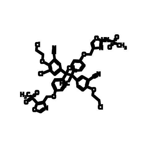 CC(c1ccc(OCc2coc(NS(C)(=O)=O)n2)cc1)(c1ccc(OCCCl)c(C#N)c1)C(C)(c1ccc(OCc2ncoc2S(C)(=O)=O)cc1)c1cc(Cl)c(OCCCl)c(C#N)c1